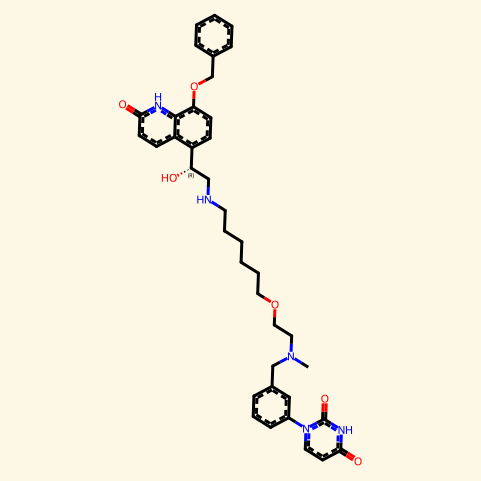 CN(CCOCCCCCCNC[C@H](O)c1ccc(OCc2ccccc2)c2[nH]c(=O)ccc12)Cc1cccc(-n2ccc(=O)[nH]c2=O)c1